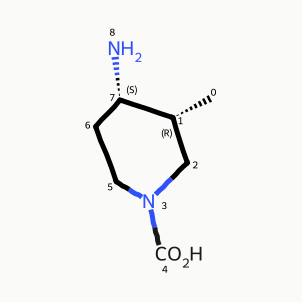 C[C@@H]1CN(C(=O)O)CC[C@@H]1N